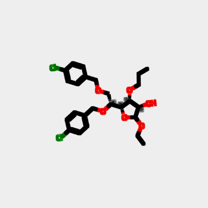 CCCO[C@H]1[C@@H]([C@@H](COCc2ccc(Cl)cc2)OCc2ccc(Cl)cc2)OC(OCC)[C@@H]1O